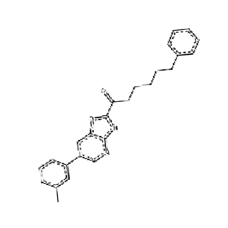 Cc1cccc(-c2cnc3nc(C(=O)CCCCCc4ccccc4)oc3c2)c1